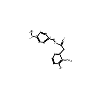 CC(=O)Oc1c(Cl)cccc1CC(=O)OCc1ccc(OC(C)C)cc1